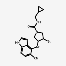 CCC1CN(C(=O)NCC2CC2)CC1Nc1c(C#N)cnc2[nH]ccc12